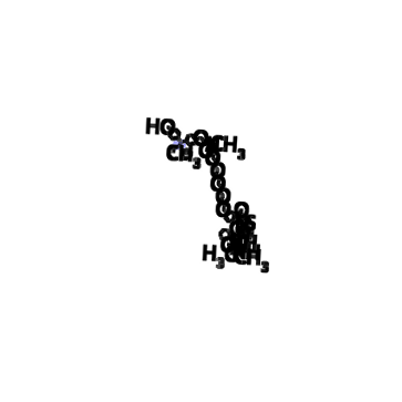 CC/C(=C(\c1ccc(O)cc1)c1ccc(OCCN(C)C(=O)COCCOCCOCCOCCOc2cccc(C(=O)c3csc([C@@H]4CCCN4C(=O)[C@@H](NC(=O)C(C)NC)C4CCCCC4)n3)c2)cc1)c1ccccc1